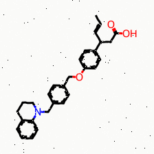 CC=CC(CC(=O)O)c1ccc(OCc2ccc(CN3CCCc4ccccc43)cc2)cc1